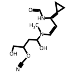 CN(/C=C\C(NC=O)=C1CC1)C(O)CC(CO)OC#N